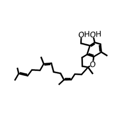 CC(C)=CCCC(C)=CCCC(C)=CCCC1(C)CCc2c(CO)c(O)cc(C)c2O1